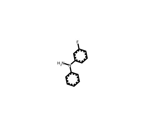 NN(c1ccccc1)c1cccc(F)c1